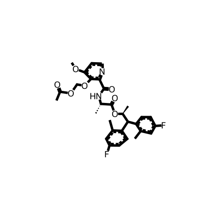 COc1ccnc(C(=O)N[C@@H](C)C(=O)O[C@@H](C)C(c2ccc(F)cc2C)c2ccc(F)cc2C)c1OCOC(C)=O